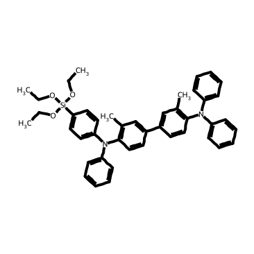 CCO[Si](OCC)(OCC)c1ccc(N(c2ccccc2)c2ccc(-c3ccc(N(c4ccccc4)c4ccccc4)c(C)c3)cc2C)cc1